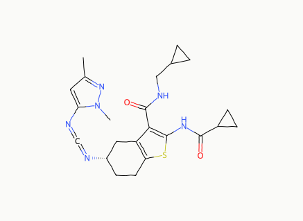 Cc1cc(N=C=N[C@H]2CCc3sc(NC(=O)C4CC4)c(C(=O)NCC4CC4)c3C2)n(C)n1